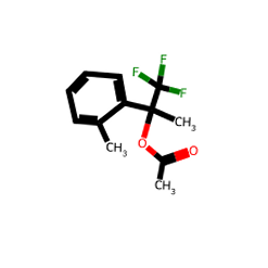 CC(=O)OC(C)(c1ccccc1C)C(F)(F)F